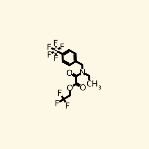 CCN(Cc1ccc(S(F)(F)(F)(F)F)cc1)C(=O)C(=O)OCC(F)(F)F